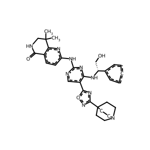 CC1(C)CNC(=O)c2ccc(Nc3ncc(-c4nc(C56CCN(CC5)CC6)no4)c(N[C@H](CO)c4ccccc4)n3)nc21